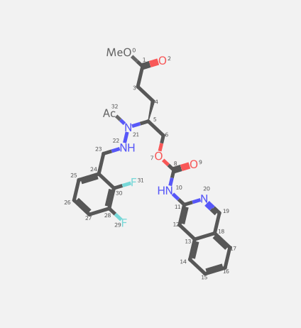 COC(=O)CC[C@@H](COC(=O)Nc1cc2ccccc2cn1)N(NCc1cccc(F)c1F)C(C)=O